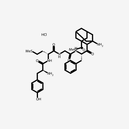 COC(=O)C12CC3CC(CC(N)(C3)C1C(=O)[C@H](Cc1ccccc1)NC(=O)CNC(=O)[C@@H](CCSC)NC(=O)[C@@H](N)Cc1ccc(O)cc1)C2.Cl